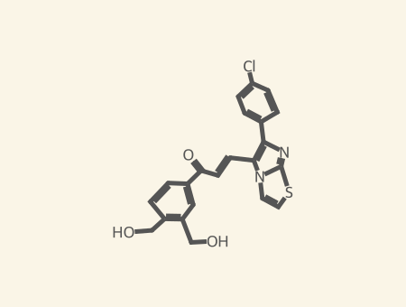 O=C(/C=C/c1c(-c2ccc(Cl)cc2)nc2sccn12)c1ccc(CO)c(CO)c1